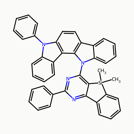 C[Si]1(C)c2ccccc2-c2nc(-c3ccccc3)nc(-n3c4ccccc4c4ccc5c(c6ccccc6n5-c5ccccc5)c43)c21